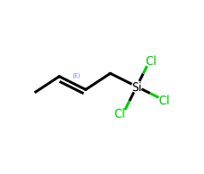 C/C=C/C[Si](Cl)(Cl)Cl